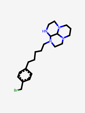 BrCc1ccc(CCCCCN2CCN3CCCN4CCNC2C43)cc1